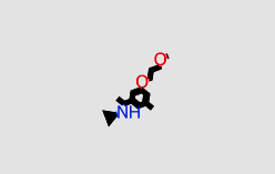 COCCCOc1cc(C)cc(C(C)NC2CC2)c1